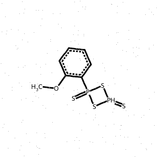 COc1ccccc1P1(=S)S[PH](=S)S1